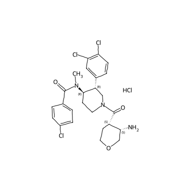 CN(C(=O)c1ccc(Cl)cc1)[C@@H]1CCN(C(=O)[C@H]2CCOC[C@H]2N)C[C@H]1c1ccc(Cl)c(Cl)c1.Cl